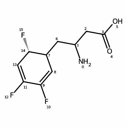 NC(CC(=O)O)CC1C=C(F)C(F)=C[C@@H]1F